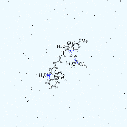 COc1ccc2c(c1)C(C)(C)C(/C=C/C=C/C=C/C=C1/N(C)c3ccccc3C1(C)C)=[N+]2CCN(C)C